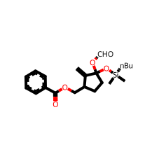 C=C1C(COC(=O)c2ccccc2)CCC1(OC=O)O[Si](C)(C)CCCC